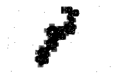 O=C(O)/C=C/c1cccc(NC(=O)C2(Cc3ccc(-c4ccc5c(c4)OCO5)cc3)CCCCC2)c1